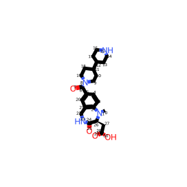 CN1c2ccc(C(=O)N3CCC(C4CCNCC4)CC3)cc2CNC(=O)[C@@H]1CC(=O)O